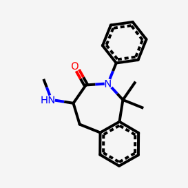 CNC1Cc2ccccc2C(C)(C)N(c2ccccc2)C1=O